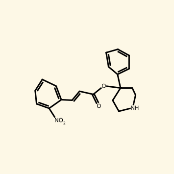 O=C(/C=C/c1ccccc1[N+](=O)[O-])OC1(c2ccccc2)CCNCC1